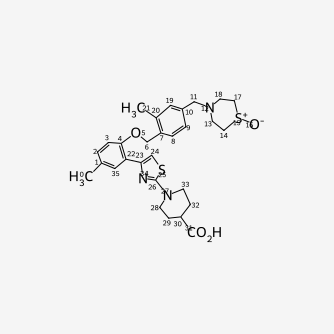 Cc1ccc(OCc2ccc(CN3CC[S+]([O-])CC3)cc2C)c(-c2csc(N3CCC(C(=O)O)CC3)n2)c1